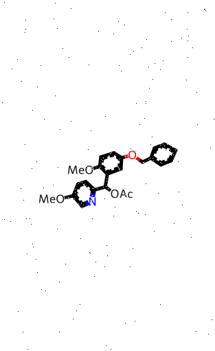 COc1ccc(C(OC(C)=O)c2cc(OCc3ccccc3)ccc2OC)nc1